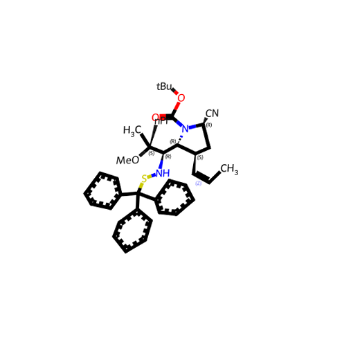 C/C=C\[C@@H]1C[C@H](C#N)N(C(=O)OC(C)(C)C)[C@H]1[C@@H](NSC(c1ccccc1)(c1ccccc1)c1ccccc1)[C@](C)(CCC)OC